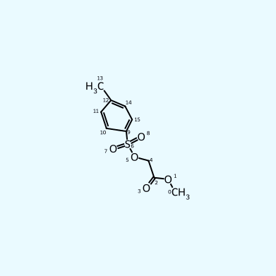 COC(=O)COS(=O)(=O)c1ccc(C)cc1